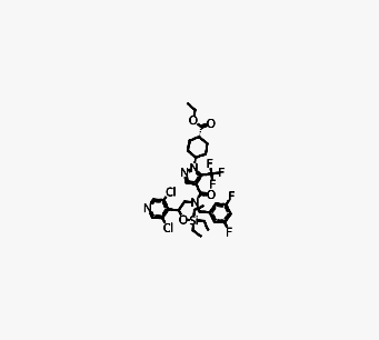 CCOC(=O)[C@H]1CC[C@H](n2ncc(C(=O)N(Cc3cc(F)cc(F)c3)CC(O[Si](CC)(CC)CC)c3c(Cl)cncc3Cl)c2C(F)(F)F)CC1